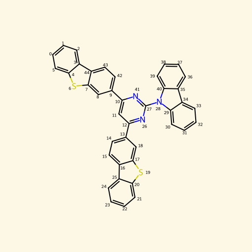 c1ccc2c(c1)sc1cc(-c3cc(-c4ccc5c(c4)sc4ccccc45)nc(-n4c5ccccc5c5ccccc54)n3)ccc12